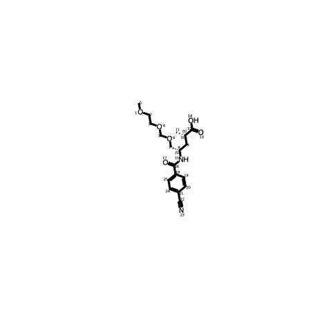 COCCOCOC[C@H](C[C@H](C)C(=O)O)NC(=O)c1ccc(C#N)cc1